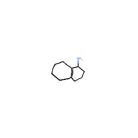 NC1CCCC2=C1CCCC2